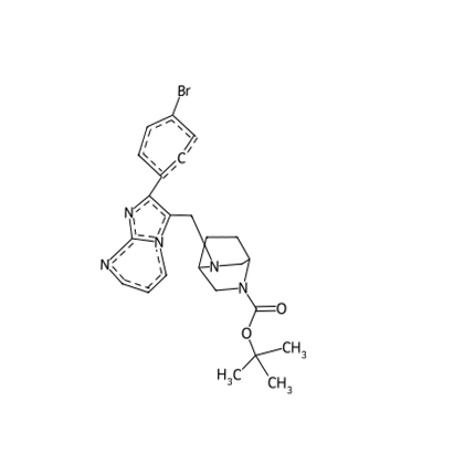 CC(C)(C)OC(=O)N1CC2CCC1CN2Cc1c(-c2ccc(Br)cc2)nc2ncccn12